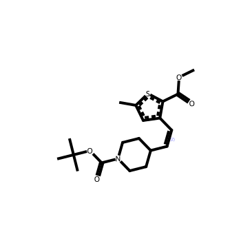 COC(=O)c1sc(C)cc1/C=C\C1CCN(C(=O)OC(C)(C)C)CC1